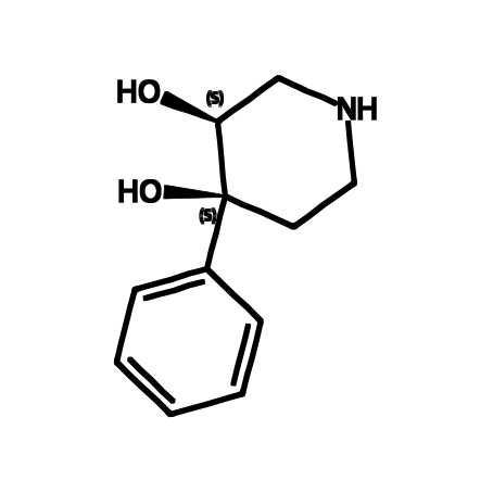 O[C@H]1CNCC[C@]1(O)c1ccccc1